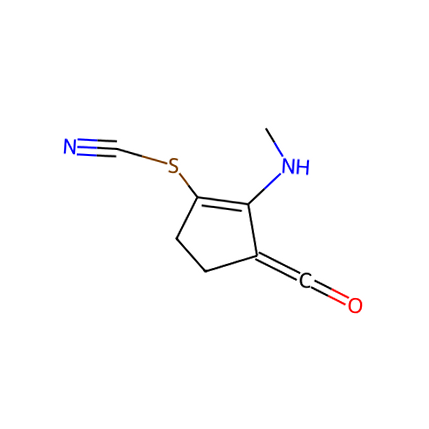 CNC1=C(SC#N)CCC1=C=O